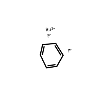 [F-].[F-].[Ru+2].c1ccccc1